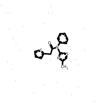 Cc1csc(N(C(=O)Cc2cccs2)c2ccccc2)n1